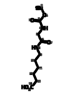 CC(C)(C)OC(=O)NCC(=O)NCCCCCC(=O)O